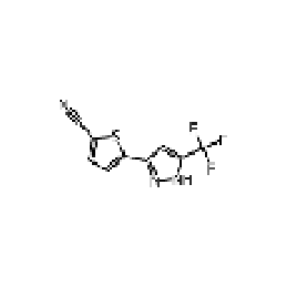 N#Cc1ccc(-c2cc(C(F)(F)F)[nH]n2)s1